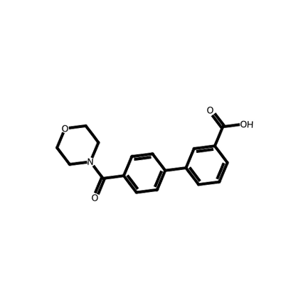 O=C(O)c1cccc(-c2ccc(C(=O)N3CCOCC3)cc2)c1